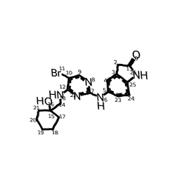 O=C1Cc2cc(Nc3ncc(Br)c(NCC4(O)CCCCC4)n3)ccc2N1